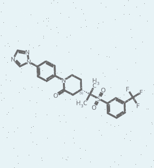 CC(C)([C@H]1CCN(c2ccc(-n3cncn3)cc2)C(=O)C1)S(=O)(=O)c1cccc(C(F)(F)F)c1